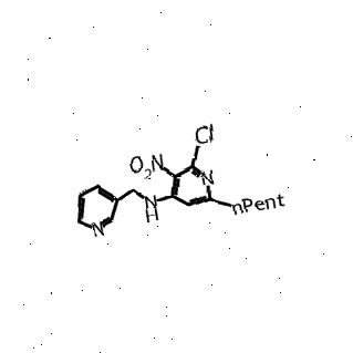 CCCCCc1cc(NCc2cccnc2)c([N+](=O)[O-])c(Cl)n1